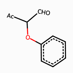 CC(=O)C(C=O)Oc1ccccc1